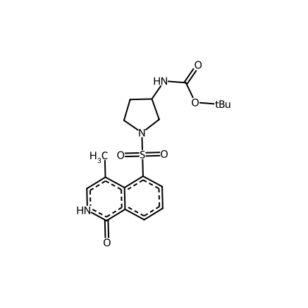 Cc1c[nH]c(=O)c2cccc(S(=O)(=O)N3CCC(NC(=O)OC(C)(C)C)C3)c12